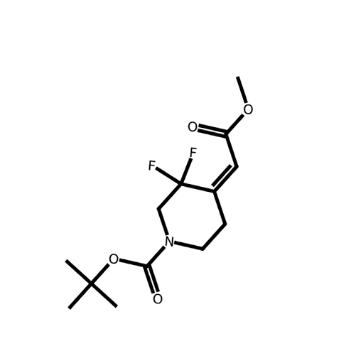 COC(=O)/C=C1/CCN(C(=O)OC(C)(C)C)CC1(F)F